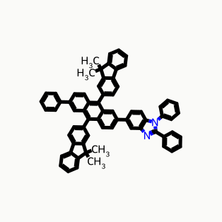 CC1(C)c2ccccc2-c2ccc(-c3c4ccc(-c5ccc6c(c5)nc(-c5ccccc5)n6-c5ccccc5)cc4c(-c4ccc5c(c4)C(C)(C)c4ccccc4-5)c4ccc(-c5ccccc5)cc34)cc21